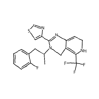 CC(Cc1ccccc1F)N1CC2=C(C(F)(F)F)NCC=C2N=C1c1cscn1